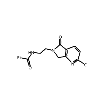 CCC(=O)NCCN1Cc2nc(Cl)ccc2C1=O